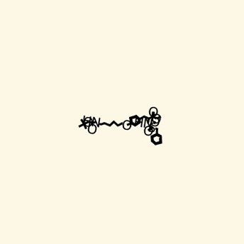 COC(=O)C(Cc1ccc(OCCCCCCNC(=O)OC(C)(C)C)cc1)NS(=O)(=O)Cc1ccccc1